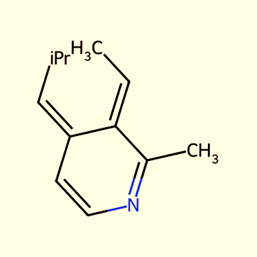 C/C=c1/c(C)ncc/c1=C/C(C)C